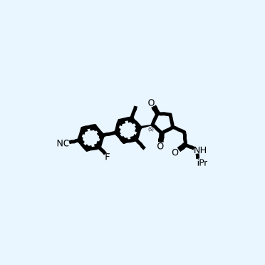 Cc1cc(-c2ccc(C#N)cc2F)cc(C)c1[C@H]1C(=O)CC(CC(=O)NC(C)C)C1=O